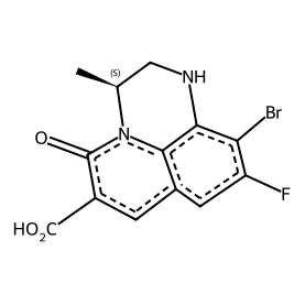 C[C@H]1CNc2c(Br)c(F)cc3cc(C(=O)O)c(=O)n1c23